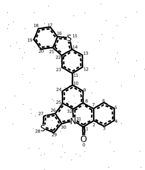 O=c1c2ccccc2c2cc(-c3ccc4sc5ccccc5c4c3)cc3c4cscc4n1c23